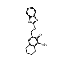 CCCCn1c2c(cc(COc3nc4ccccc4o3)c1=O)CCCC2